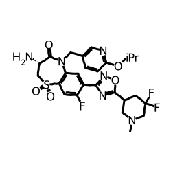 CC(C)Oc1ccc(CN2C(=O)[C@@H](N)CS(=O)(=O)c3cc(F)c(-c4noc(C5CN(C)CC(F)(F)C5)n4)cc32)cn1